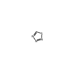 C1=[N+]N=NS1